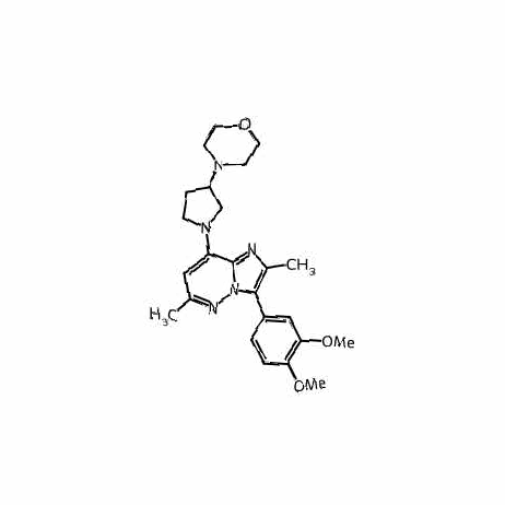 COc1ccc(-c2c(C)nc3c(N4CC[C@@H](N5CCOCC5)C4)cc(C)nn23)cc1OC